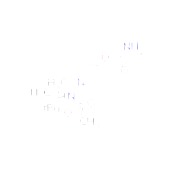 CC(C)(C)[Si](C)(C)N(N1CCC(OC(N)=O)CC1)S(C)(=O)=O